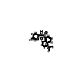 CN(C)c1cccc2c(S(=O)(=O)Nc3ccc(I)cn3)cccc12